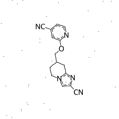 N#Cc1ccnc(OCC2CCn3cc(C#N)nc3C2)c1